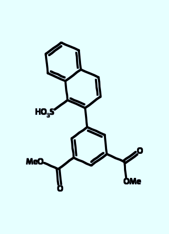 COC(=O)c1cc(C(=O)OC)cc(-c2ccc3ccccc3c2S(=O)(=O)O)c1